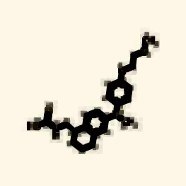 COCCOc1ccc(N(C)c2ccc3c(c2)CCC[C@H]3CNC(=O)O)cc1